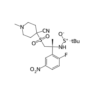 CN1CCC(C#N)(S(=O)(=O)C[C@](C)(N[S@+]([O-])C(C)(C)C)c2cc([N+](=O)[O-])ccc2F)CC1